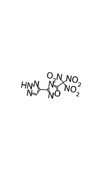 O=[N+]([O-])C(c1nc(-c2cn[nH]n2)no1)([N+](=O)[O-])[N+](=O)[O-]